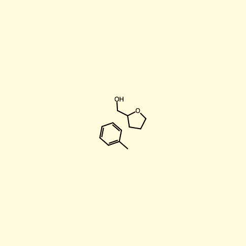 Cc1ccccc1.OCC1CCCO1